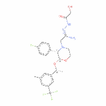 Cc1cc([C@@H](C)O[C@H]2OCCN(C/C(N)=N/NC(=O)CO)[C@H]2c2ccc(F)cc2)cc(C(F)(F)F)c1